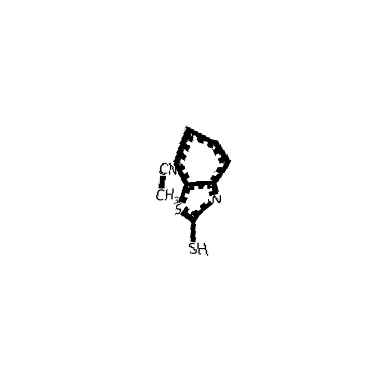 CC#N.Sc1nc2ccccc2s1